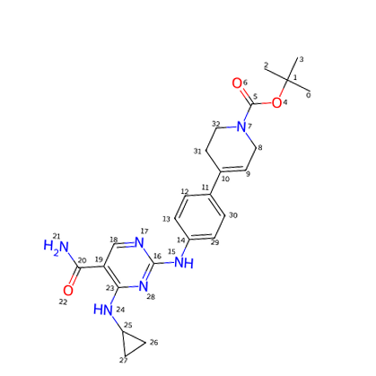 CC(C)(C)OC(=O)N1CC=C(c2ccc(Nc3ncc(C(N)=O)c(NC4CC4)n3)cc2)CC1